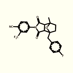 CC12CCC(Cc3ccc(F)cc3)(O1)C1C(=O)N(c3ccc(C#N)c(C(F)(F)F)c3)C(=O)C12